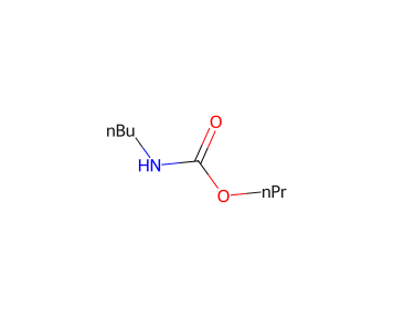 [CH2]CCOC(=O)NCCCC